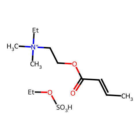 CC=CC(=O)OCC[N+](C)(C)CC.CCOS(=O)(=O)O